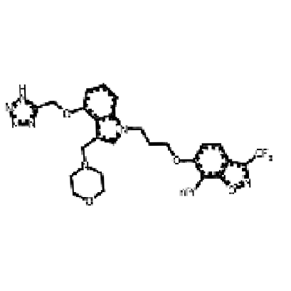 CCCc1c(OCCCn2cc(CN3CCOCC3)c3c(OCc4nnn[nH]4)cccc32)ccc2c(C(F)(F)F)noc12